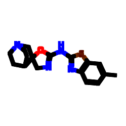 Cc1ccc2nc(NC3=NCC4(CN5CCC4CC5)O3)sc2c1